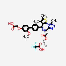 COC(=O)C[C@@H]1N=C(c2ccc(-c3ccc(OCC(=O)O)cc3OC)cc2)c2c(sc(C)c2C)-n2c(C)nnc21.O=C(O)C(F)(F)F